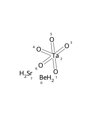 [BeH2].[O]=[Ta](=[O])(=[O])(=[O])=[O].[SrH2]